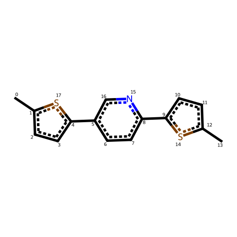 Cc1ccc(-c2ccc(-c3ccc(C)s3)nc2)s1